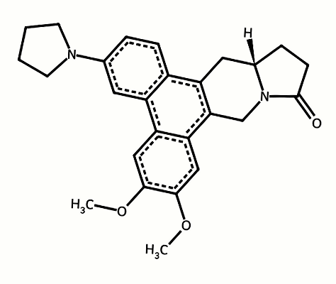 COc1cc2c3c(c4ccc(N5CCCC5)cc4c2cc1OC)C[C@@H]1CCC(=O)N1C3